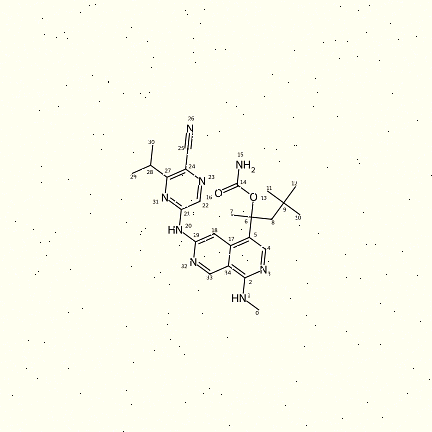 CNc1ncc(C(C)(CC(C)(C)C)OC(N)=O)c2cc(Nc3cnc(C#N)c(C(C)C)n3)ncc12